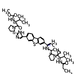 C/C=C(\NC(C)[C@@H]1CCCN1C(=O)[C@@H](NC(=O)CC)C(C)C)c1ccc2c(c1)sc1cc(-c3cnc([C@@H]4CCCN4C(=O)[C@@H](NC(=O)OC)C(C)C)[nH]3)ccc12